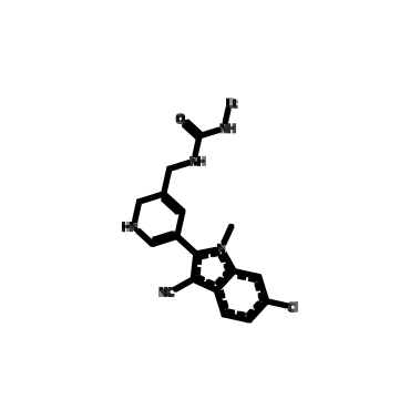 CCNC(=O)NCC1=CC(c2c(C#N)c3ccc(Cl)cc3n2C)=CNC1